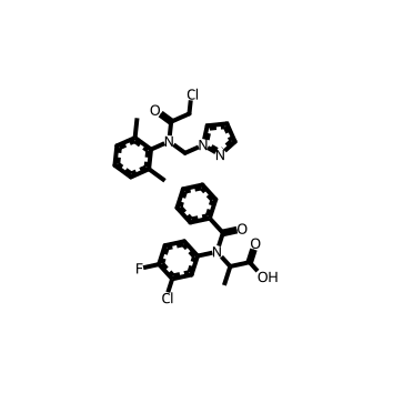 CC(C(=O)O)N(C(=O)c1ccccc1)c1ccc(F)c(Cl)c1.Cc1cccc(C)c1N(Cn1cccn1)C(=O)CCl